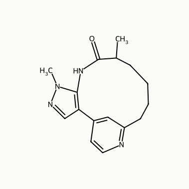 CC1CCCCc2cc(ccn2)-c2cnn(C)c2NC1=O